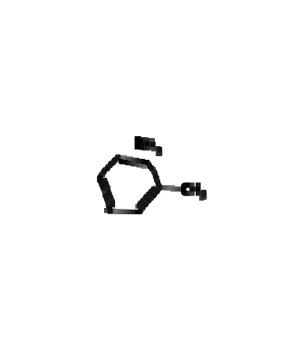 Cc1c[c]ccc1.[BiH3]